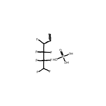 C=CC(F)C(F)(F)C(F)(F)C(F)F.O=P(O)(O)O